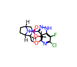 CC(C)(C)OC(=O)N1[C@@H]2CC[C@H]1[C@H]1COc3nc(Cl)c(F)c4[nH]nc(c34)N1C2